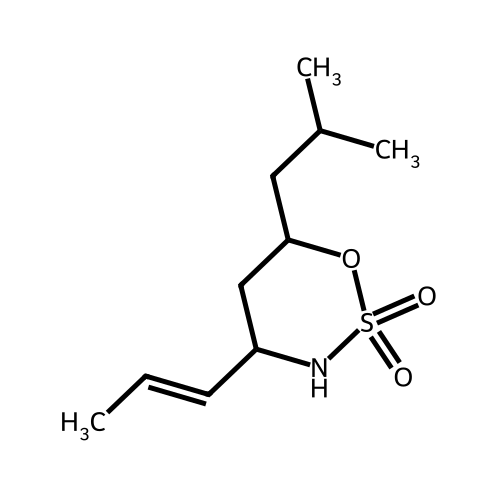 C/C=C/C1CC(CC(C)C)OS(=O)(=O)N1